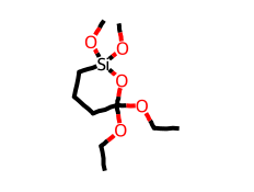 CCOC1(OCC)CCC[Si](OC)(OC)O1